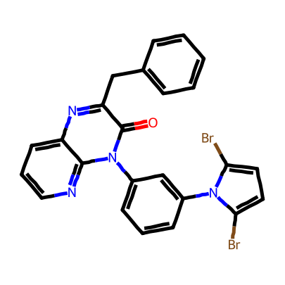 O=c1c(Cc2ccccc2)nc2cccnc2n1-c1cccc(-n2c(Br)ccc2Br)c1